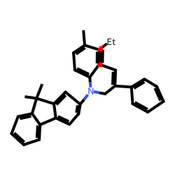 CC/C=C\C=C(/CN(c1ccc(C)cc1)c1ccc2c(c1)C(C)(C)c1ccccc1-2)c1ccccc1